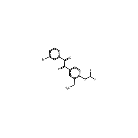 CCc1cc(C(=O)C(=O)c2cccc(Br)c2)ccc1OC(F)F